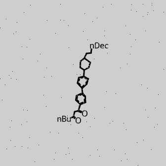 CCCCCCCCCCCCC1CCC(c2ccc(-c3ccc(C(=O)CC(=O)CCCC)cc3)cc2)CC1